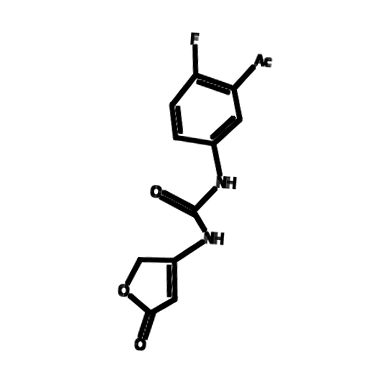 CC(=O)c1cc(NC(=O)NC2=CC(=O)OC2)ccc1F